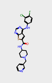 O=C(NC1CCN(Cc2cccnc2)CC1)c1cc2c(Nc3ccc(F)c(Cl)c3)ncnc2s1